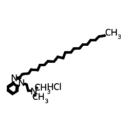 CCCCCCCCCCCCCCCCCCCCCc1nc2ccccc2n1CCN(C)C.Cl